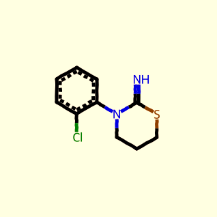 N=C1SCCCN1c1ccccc1Cl